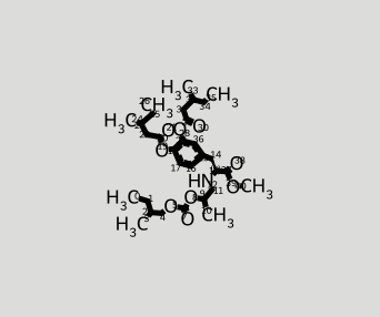 CCC(C)COC(=O)OC(C)CN[C@@H](Cc1ccc(OC(=O)CC(C)CC)c(OC(=O)CC(C)CC)c1)C(=O)OC